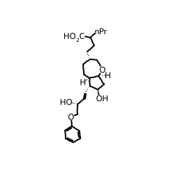 CCCC(CC[C@H]1CC[C@@H]2[C@@H](/C=C/[C@@H](O)COc3ccccc3)[C@H](O)C[C@@H]2OC1)C(=O)O